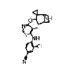 Cc1c(Nc2ccc(C#N)cc2Cl)ncnc1OC1CC2CCC(N2)C12CC2